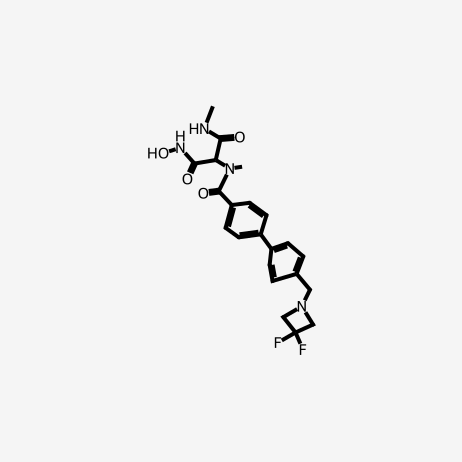 CNC(=O)C(C(=O)NO)N(C)C(=O)c1ccc(-c2ccc(CN3CC(F)(F)C3)cc2)cc1